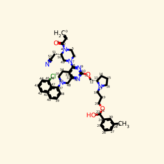 C=CC(=O)N1CCN(c2nc(OC[C@@H]3CCCN3CCCOC(O)c3cccc(C)c3)nc3c2CCN(c2cccc4cccc(Cl)c24)C3)C[C@@H]1CC#N